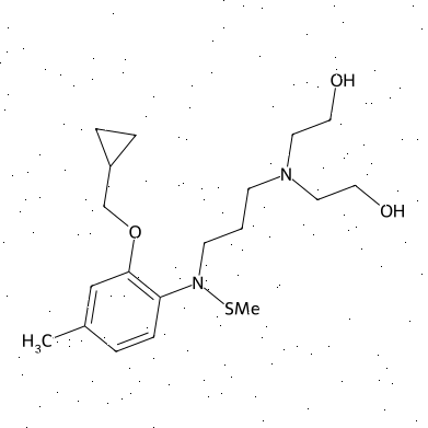 CSN(CCCN(CCO)CCO)c1ccc(C)cc1OCC1CC1